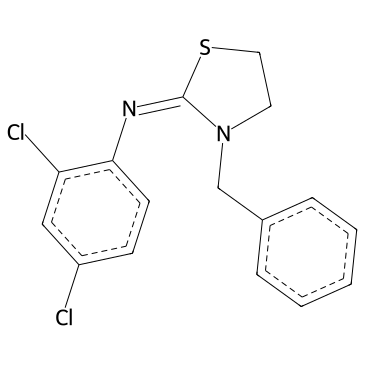 Clc1ccc(N=C2SCCN2Cc2ccccc2)c(Cl)c1